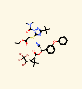 CC1(C)[C@H](C(=O)O[C@H](C#N)c2cccc(Oc3ccccc3)c2)[C@@H]1C(Br)C(Br)(Br)Br.CCOC(=O)CSc1nc(C(C)(C)C)nn1C(=O)N(C)C